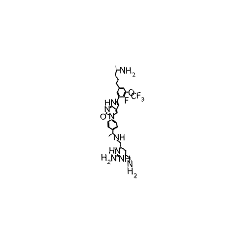 C[C@H](N)CCCc1cc(OC(F)(F)F)c(F)c(-c2cc3cn(-c4ccc([C@H](C)NCC[C@@H](CCCN)NC(=N)N)cc4)c(=O)nc3[nH]2)c1